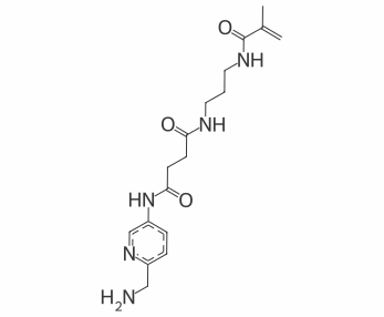 C=C(C)C(=O)NCCCNC(=O)CCC(=O)Nc1ccc(CN)nc1